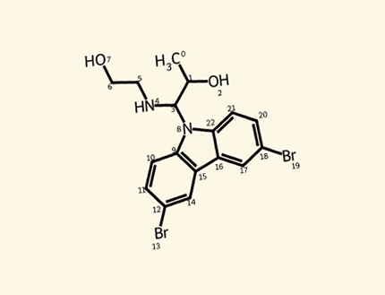 CC(O)C(NCCO)n1c2ccc(Br)cc2c2cc(Br)ccc21